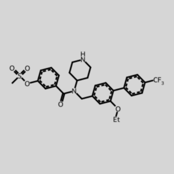 CCOc1cc(CN(C(=O)c2cccc(OS(C)(=O)=O)c2)C2CCNCC2)ccc1-c1ccc(C(F)(F)F)cc1